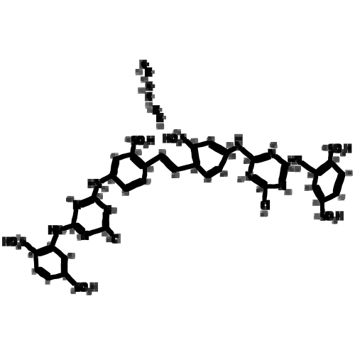 O=S(=O)(O)c1ccc(S(=O)(=O)O)c(Nc2nc(Cl)nc(Nc3ccc(C=Cc4ccc(Nc5nc(Cl)nc(Nc6cc(S(=O)(=O)O)ccc6S(=O)(=O)O)n5)cc4S(=O)(=O)O)c(S(=O)(=O)O)c3)n2)c1.[K].[K].[K].[K].[K].[K]